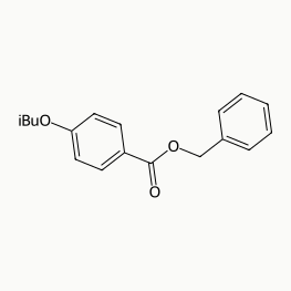 CC(C)COc1ccc(C(=O)OCc2ccccc2)cc1